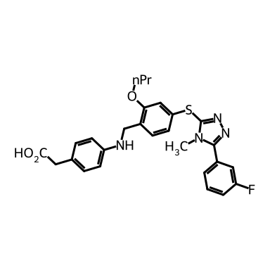 CCCOc1cc(Sc2nnc(-c3cccc(F)c3)n2C)ccc1CNc1ccc(CC(=O)O)cc1